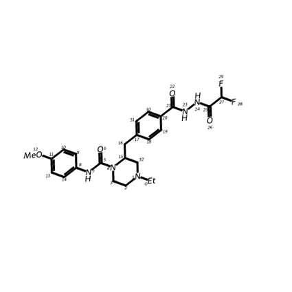 CCN1CCN(C(=O)Nc2ccc(OC)cc2)C(Cc2ccc(C(=O)NNC(=O)C(F)F)cc2)C1